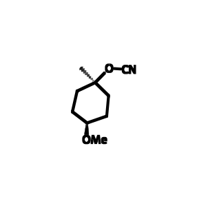 CO[C@H]1CC[C@@](C)(OC#N)CC1